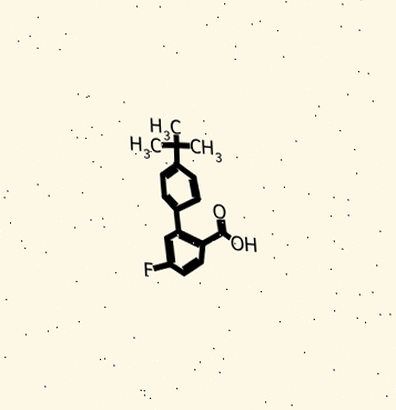 CC(C)(C)c1ccc(-c2cc(F)ccc2C(=O)O)cc1